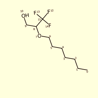 CCCCCCCOC(CO)C(F)(F)F